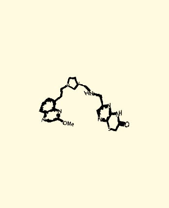 COc1cnc2cccc(CCN3CC[C@@H](CNCc4cnc5c(n4)NC(=O)CS5)C3)c2n1